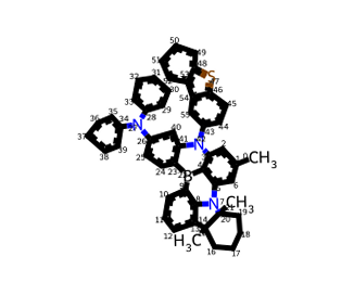 Cc1cc2c3c(c1)N1c4c(cccc4C4(C)CCCCC14C)B3c1ccc(N(c3ccccc3)c3ccccc3)cc1N2c1ccc2sc3ccccc3c2c1